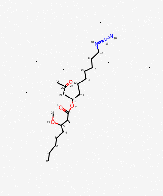 CCCCC[C@H](CC(=O)O[C@H](CCCCCCCN=[N+]=[N-])CC(C)=O)OC